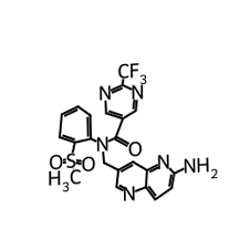 CS(=O)(=O)c1ccccc1N(Cc1cnc2ccc(N)nc2c1)C(=O)c1cnc(C(F)(F)F)nc1